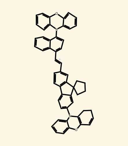 C1=CC2=C(CC1)N(c1ccc3c(c1)C1(CCCC1)c1cc(/C=C/c4ccc(N5c6ccccc6Oc6ccccc65)c5ccccc45)ccc1-3)c1ccccc1O2